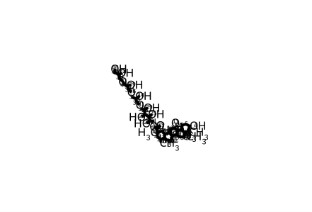 CC1(C)[C@@H](O)CC[C@]2(C)[C@H]3C(=O)C=C4[C@@H]5C[C@@](C)(C(=O)OCC(O)C(O)C(O)C(O)COCC(O)COCC(O)COCC(O)CO)CC[C@]5(C)CC[C@@]4(C)[C@]3(C)CC[C@@H]12